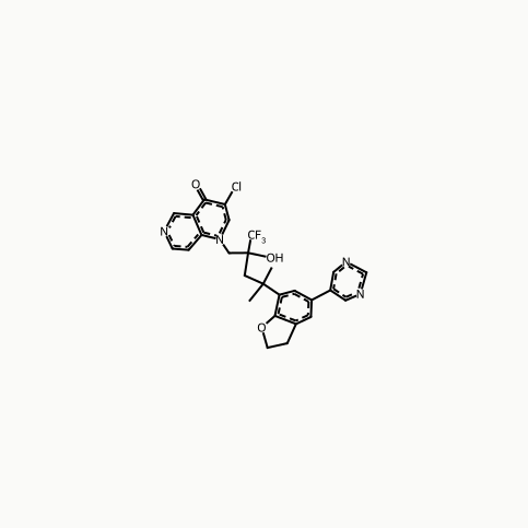 CC(C)(CC(O)(Cn1cc(Cl)c(=O)c2cnccc21)C(F)(F)F)c1cc(-c2cncnc2)cc2c1OCC2